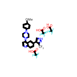 COc1ccc(N2CCN(c3ccnc4ccc(-c5c[nH]nc5C(F)(F)F)cc34)CC2)cc1.O=C(O)C(F)(F)F.O=C(O)C(F)(F)F.O=C(O)C(F)(F)F